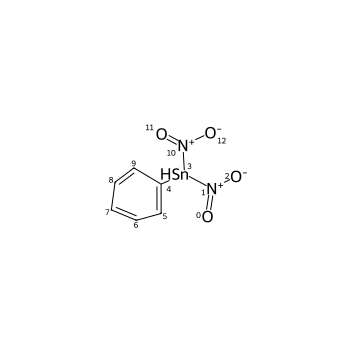 O=[N+]([O-])[SnH]([c]1ccccc1)[N+](=O)[O-]